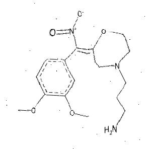 COc1ccc(C(=C2CN(CCCN)CCO2)[N+](=O)[O-])cc1OC